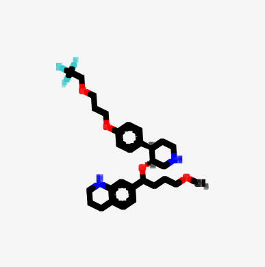 COCCCC(O[C@H]1CNCC[C@@H]1c1ccc(OCCCOCC(F)(F)F)cc1)c1ccc2c(c1)NCCC2